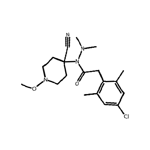 CON1CCC(C#N)(N(C(=O)Cc2c(C)cc(Cl)cc2C)N(C)C)CC1